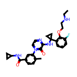 CCNCCOc1c(F)cccc1C1(Nc2nccn(-c3cc(C(=O)NC4CC4)ccc3C)c2=O)CC1